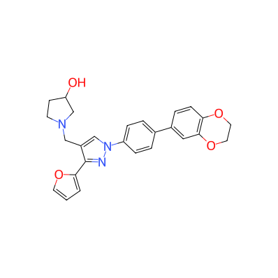 OC1CCN(Cc2cn(-c3ccc(-c4ccc5c(c4)OCCO5)cc3)nc2-c2ccco2)C1